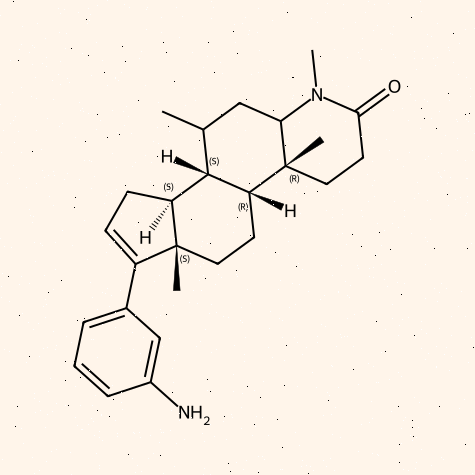 CC1CC2N(C)C(=O)CC[C@]2(C)[C@@H]2CC[C@]3(C)C(c4cccc(N)c4)=CC[C@H]3[C@H]12